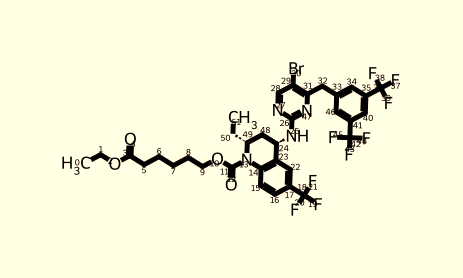 CCOC(=O)CCCCCOC(=O)N1c2ccc(C(F)(F)F)cc2[C@@H](Nc2ncc(Br)c(Cc3cc(C(F)(F)F)cc(C(F)(F)F)c3)n2)C[C@H]1CC